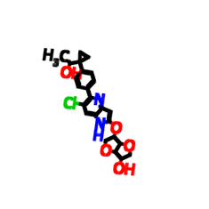 CC(O)C1(c2ccc(-c3nc4cc(O[C@@H]5COC6C5OC[C@H]6O)[nH]c4cc3Cl)cc2)CC1